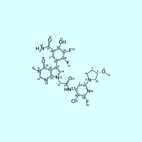 CO[C@H]1CCN(c2cc(NC(=O)Cn3cc(-c4cc(C(N)=O)c(O)c(F)c4F)c4c(=O)n(C)cnc43)c(Cl)c(F)n2)C1